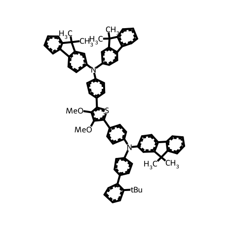 COc1c(-c2ccc(N(c3ccc(-c4ccccc4C(C)(C)C)cc3)c3ccc4c(c3)C(C)(C)c3ccccc3-4)cc2)sc(-c2ccc(N(c3ccc4c(c3)C(C)(C)c3ccccc3-4)c3ccc4c(c3)C(C)(C)c3ccccc3-4)cc2)c1OC